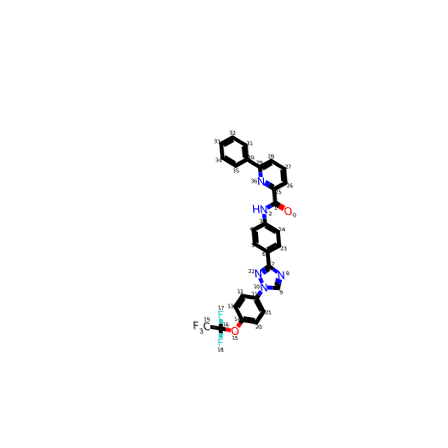 O=C(Nc1ccc(-c2ncn(-c3ccc(OC(F)(F)C(F)(F)F)cc3)n2)cc1)c1cccc(-c2ccccc2)n1